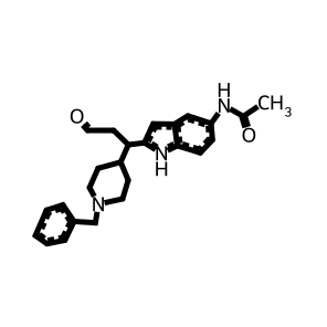 CC(=O)Nc1ccc2[nH]c(C(CC=O)C3CCN(Cc4ccccc4)CC3)cc2c1